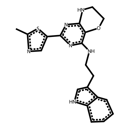 Cc1ncc(-c2nc3c(c(NCCc4c[nH]c5ccccc45)n2)OCCN3)s1